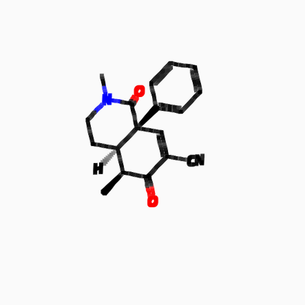 C[C@@H]1C(=O)C(C#N)=C[C@@]2(c3ccccc3)C(=O)N(C)CC[C@H]12